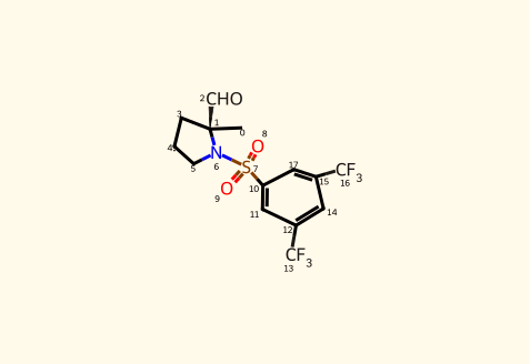 C[C@@]1(C=O)C[CH]CN1S(=O)(=O)c1cc(C(F)(F)F)cc(C(F)(F)F)c1